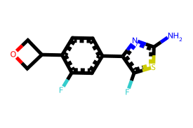 Nc1nc(-c2ccc(C3COC3)c(F)c2)c(F)s1